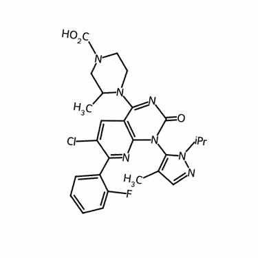 Cc1cnn(C(C)C)c1-n1c(=O)nc(N2CCN(C(=O)O)CC2C)c2cc(Cl)c(-c3ccccc3F)nc21